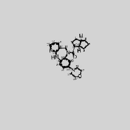 O=C([C@H]1CC[C@H]2CCC[C@H]21)N1Cc2cccnc2Nc2ccc(N3CCOCC3)cc21